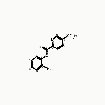 O=C(O)c1ccc(C(=O)Oc2ccccc2F)nc1